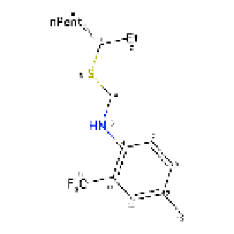 CCCCC[C@H](CC)SCNc1ccc(C)cc1C(F)(F)F